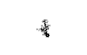 CC(C)[C@@H](N)C(=O)N[C@@H](Cc1c[nH]c2ccccc12)C(=O)N[C@@H](CCCNC(N)=O)C(=O)O